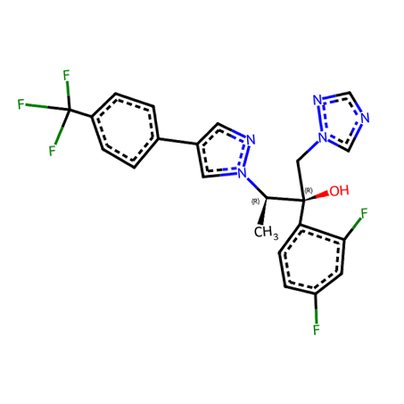 C[C@@H](n1cc(-c2ccc(C(F)(F)F)cc2)cn1)[C@](O)(Cn1cncn1)c1ccc(F)cc1F